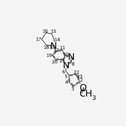 COc1ccc(Cn2cnc3cc(N4CCCCC4)ccc32)cc1